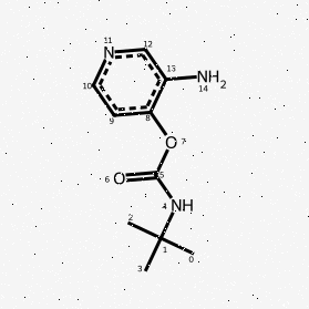 CC(C)(C)NC(=O)Oc1ccncc1N